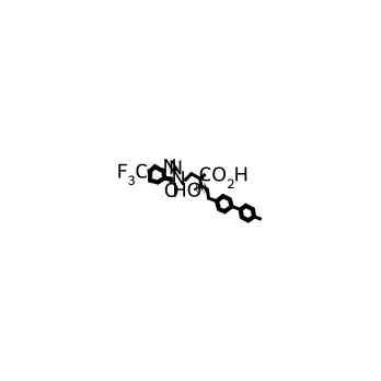 Cc1ccc(-c2ccc(CC[C@@H](O)C(CCn3nnc4cc(C(F)(F)F)ccc4c3=O)C(=O)O)cc2)cc1